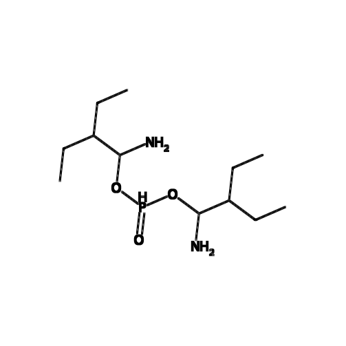 CCC(CC)C(N)O[PH](=O)OC(N)C(CC)CC